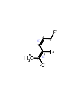 C/C(Cl)=C(I)\C=C/CF